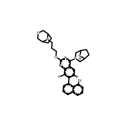 CCc1cccc2cccc(-c3c(F)cc4c(N5CC6CCC(C5)N6)nc(OCCCN5C6CCC5COC6)nc4c3F)c12